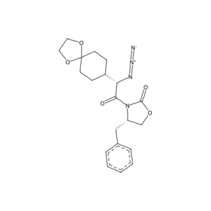 [N-]=[N+]=N[C@H](C(=O)N1C(=O)OC[C@@H]1Cc1ccccc1)C1CCC2(CC1)OCCO2